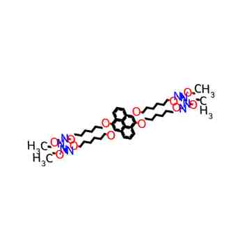 CCON=NOCCCCCCOc1c(OCCCCCCON=NOCC)c2cccc3c(OCCCCCCON=NOCC)c(OCCCCCCON=NOCC)c4cccc1c4c23